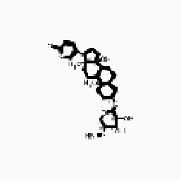 C[C@]12CC[C@H](OC3OC[C@H](N=[N+]=[N-])[C@H](O)[C@@H]3O)C=C1CCC1C2CC[C@]2(C)[C@@H](c3ccc(=O)oc3)CC[C@]12O